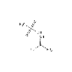 CS(=O)(=O)O.N=C(N)S